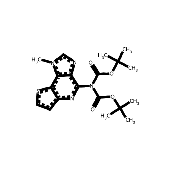 Cn1cnc2c(N(C(=O)OC(C)(C)C)C(=O)OC(C)(C)C)nc3ccsc3c21